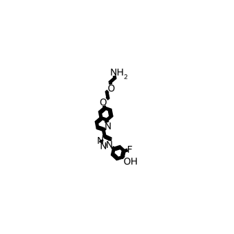 NCCOCCOc1ccc2nc(-c3cn(-c4ccc(O)c(F)c4)nn3)ccc2c1